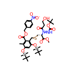 COC(=O)[C@H](CSCc1c(O[Si](C)(C)C(C)(C)C)cc(O[Si](C)(C)C(C)(C)C)c(C)c1C(=O)OCc1ccc([N+](=O)[O-])cc1)N(NC(=O)OC(C)(C)C)C(=O)CCO